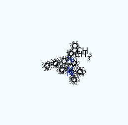 CC1(C)c2ccccc2-c2ccc(N(c3ccc(-c4ccc(-c5ccccc5)cc4)cc3)c3cccc4c3cc(-c3ccccc3)n3nc(-c5ccccc5)c(-c5ccccc5)c43)cc21